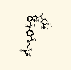 CCN(N=C(N)N)C(=O)c1cc2cccc(NC(=O)c3ccc(C(=O)NCCNC(=N)N)cc3)c2[nH]1